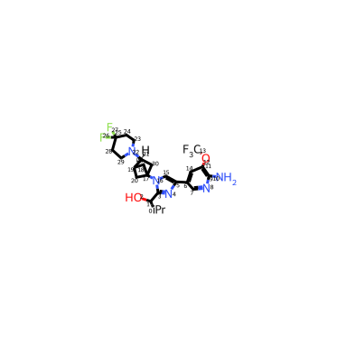 CC(C)C(O)c1nc(-c2cnc(N)c(OC(F)(F)F)c2)cn1C12CC(C1)[C@@H](N1CCC(F)(F)CC1)C2